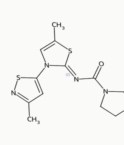 Cc1cc(-n2cc(C)s/c2=N\C(=O)N2CCCC2)sn1